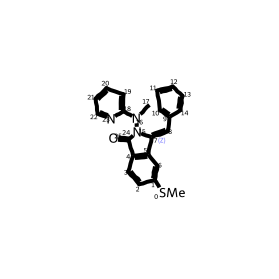 CSc1ccc2c(c1)/C(=C/c1ccccc1)N(N(C)c1ccccn1)C2=O